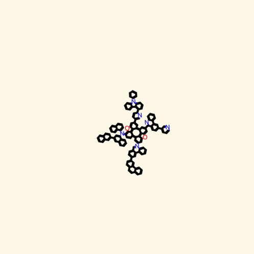 c1ccc(-n2c3ccccc3c3c(-c4ccc(-c5cc6oc7c(N(c8cccc9ccccc89)c8cc(-c9ccc%10ccccc%10c9)cc9ccccc89)ccc8c9cc(N%10Cc%11ccc(-c%12ccc%13ccc%14ccccc%14c%13c%12)cc%11-c%11ccccc%11%10)cc%10oc%11cc(-c%12nc%13ccccc%13c%13cc(-c%14cccnc%14)ccc%12%13)cc(c(c5)c6c78)c%11c%109)cn4)cccc32)cc1